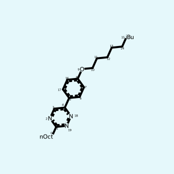 CCCCCCCCc1ncc(-c2ccc(OCCCCCC(C)CC)cc2)nn1